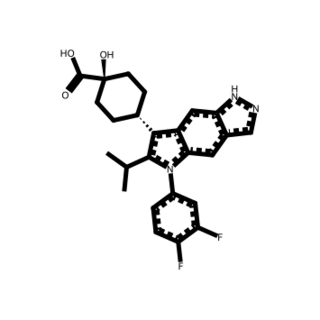 CC(C)c1c([C@H]2CC[C@@](O)(C(=O)O)CC2)c2cc3[nH]ncc3cc2n1-c1ccc(F)c(F)c1